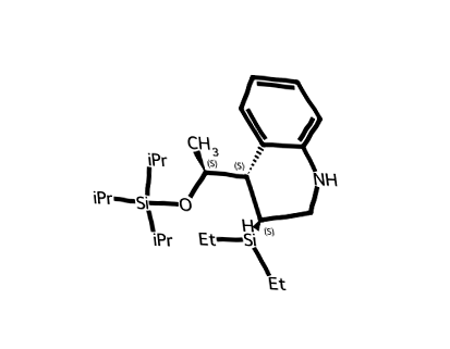 CC[SiH](CC)[C@@H]1CNc2ccccc2[C@H]1[C@H](C)O[Si](C(C)C)(C(C)C)C(C)C